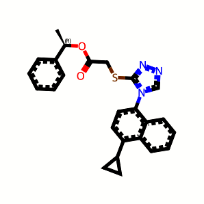 C[C@@H](OC(=O)CSc1nncn1-c1ccc(C2CC2)c2ccccc12)c1ccccc1